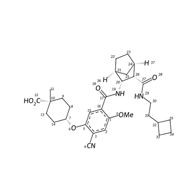 COc1cc(C#N)c(O[C@H]2CC[C@@](C)(C(=O)O)CC2)cc1C(=O)N[C@@H]1[C@H]2CC[C@H](C2)[C@@H]1C(=O)NCCC1CCC1